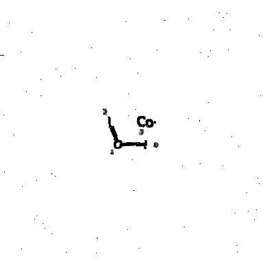 IOI.[Co]